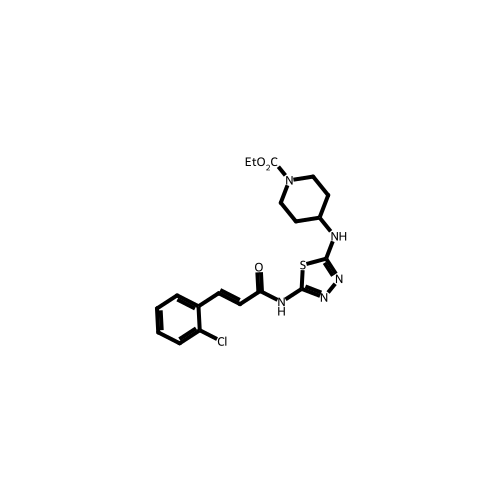 CCOC(=O)N1CCC(Nc2nnc(NC(=O)/C=C/c3ccccc3Cl)s2)CC1